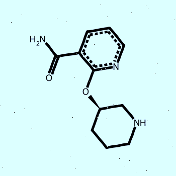 NC(=O)c1cccnc1O[C@@H]1CCCNC1